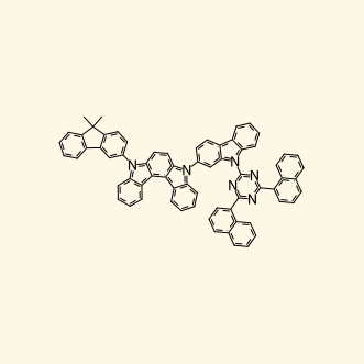 CC1(C)c2ccccc2-c2cc(-n3c4ccccc4c4c5c6ccccc6n(-c6ccc7c8ccccc8n(-c8nc(-c9cccc%10ccccc9%10)nc(-c9cccc%10ccccc9%10)n8)c7c6)c5ccc43)ccc21